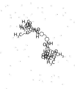 CCCCOCC(O)CN(CCC[Si](OC)(OC)OC)C(=O)NC1CCC(CC2CCC(NC(=O)N(CCC[Si](OC)(OC)OC)CC(O)COC(=O)C(C)(CCC)CCCC)CC2)CC1